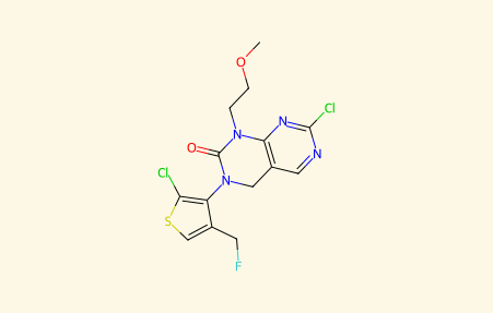 COCCN1C(=O)N(c2c(CF)csc2Cl)Cc2cnc(Cl)nc21